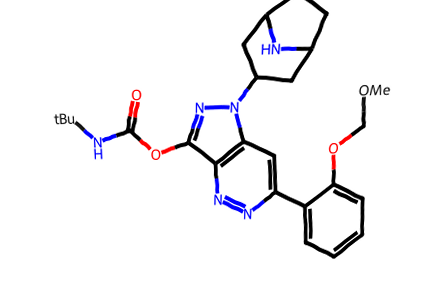 COCOc1ccccc1-c1cc2c(nn1)c(OC(=O)NC(C)(C)C)nn2C1CC2CCC(C1)N2